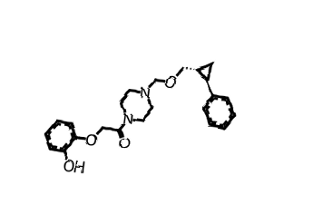 O=C(COc1ccccc1O)N1CCN(COC[C@@H]2C[C@H]2c2ccccc2)CC1